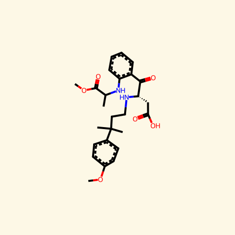 COC(=O)C(C)Nc1ccccc1C(=O)[C@H](CC(=O)O)NCCC(C)(C)c1ccc(OC)cc1